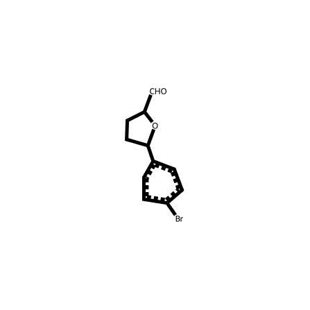 O=CC1CCC(c2ccc(Br)cc2)O1